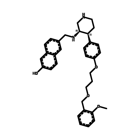 COc1ccccc1COCCCOc1ccc([C@@H]2CCNC[C@@H]2NCc2ccc3cc(O)ccc3c2)cc1